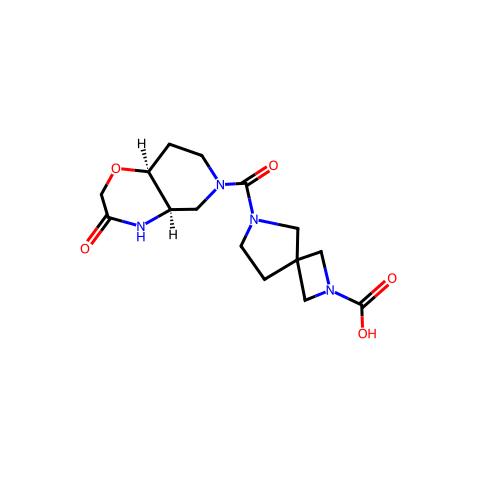 O=C1CO[C@H]2CCN(C(=O)N3CCC4(CN(C(=O)O)C4)C3)C[C@H]2N1